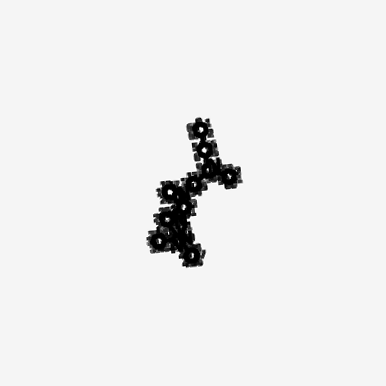 c1ccc(-c2ccc(-c3cc(-c4ccc(-n5c6ccccc6c6c7c8ccccc8n(Cc8nc(-c9ccccc9)nc(-c9ccccc9)n8)c7ccc65)cc4)cc(-c4ccccc4)n3)cc2)cc1